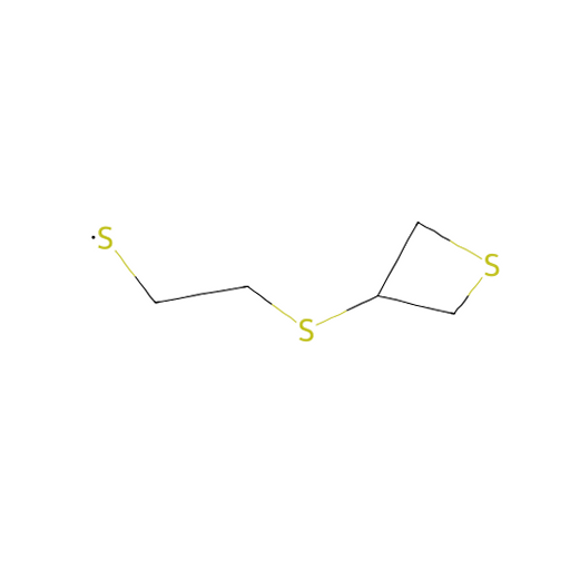 [S]CCSC1CSC1